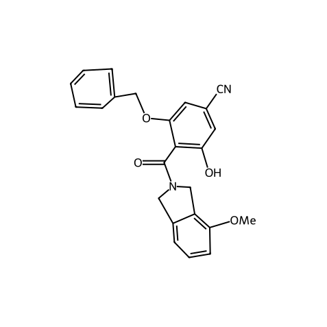 COc1cccc2c1CN(C(=O)c1c(O)cc(C#N)cc1OCc1ccccc1)C2